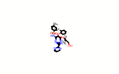 [2H]C([2H])(CO)Oc1nc(-c2ncccn2)nc(NS(=O)(=O)c2ccc(C(C)(C)C)cc2)c1Oc1ccccc1C